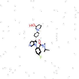 CC(C)N(C)C(=O)c1cc(F)ccc1-n1cc([C@H]2CC[C@H](N3CCCC(O)C3)CC2)c2ccncc21